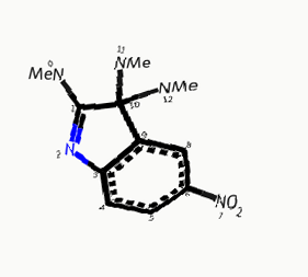 CNC1=Nc2ccc([N+](=O)[O-])cc2C1(NC)NC